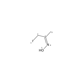 CC(CI)=NO